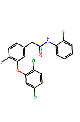 CCc1ccc(CC(=O)Nc2ccccc2Cl)cc1Oc1cc(Cl)ccc1Cl